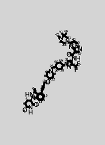 C=C1NN(C2CCC(=O)NC2=O)c2cccc(C#CCOC3CCN(CC4CCC(n5cc(NC(=O)c6cnn7ccc(N8CCN(C)C(C)(C)C8)nc67)c(C(F)F)n5)CC4)CC3)c21